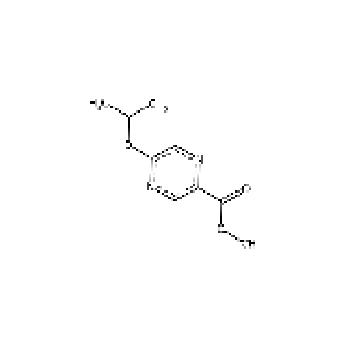 COC(=O)c1cnc(OC(C)C)cn1